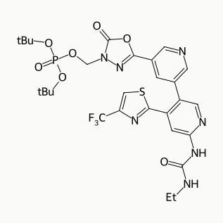 CCNC(=O)Nc1cc(-c2nc(C(F)(F)F)cs2)c(-c2cncc(-c3nn(COP(=O)(OC(C)(C)C)OC(C)(C)C)c(=O)o3)c2)cn1